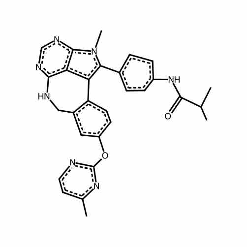 Cc1ccnc(Oc2ccc3c(c2)CNc2ncnc4c2c-3c(-c2ccc(NC(=O)C(C)C)cc2)n4C)n1